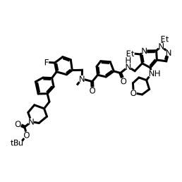 CCc1nc2c(cnn2CC)c(NC2CCOCC2)c1CNC(=O)c1cccc(C(=O)N(C)Cc2ccc(F)c(-c3cccc(CC4CCN(C(=O)OC(C)(C)C)CC4)c3)c2)c1